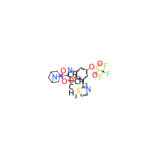 CC(C)(C)OC(=O)N1C2CC1CN(c1nc3cc(OS(=O)(=O)C(F)(F)F)cc(-c4nccs4)c3o1)C2